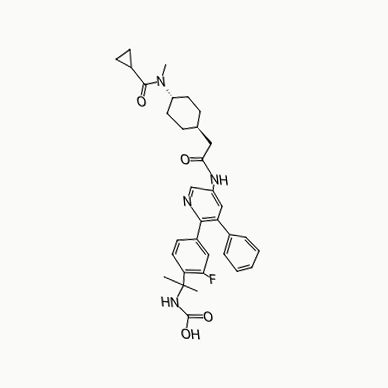 CN(C(=O)C1CC1)[C@H]1CC[C@H](CC(=O)Nc2cnc(-c3ccc(C(C)(C)NC(=O)O)c(F)c3)c(-c3ccccc3)c2)CC1